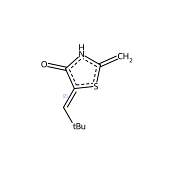 C=c1[nH]c(=O)/c(=C/C(C)(C)C)s1